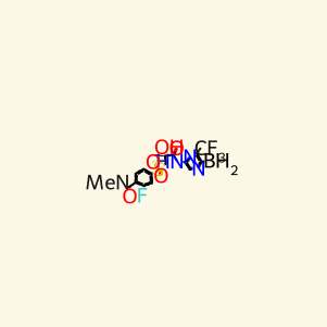 Bc1ncc(NC(=O)[C@@](C)(O)CS(=O)(=O)c2ccc(C(=O)NC)c(F)c2)nc1C(F)(F)F